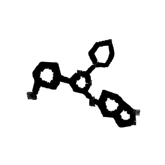 Oc1cccc(-c2cc(Nc3ccc4[nH]ncc4c3)nc(N3CCSCC3)n2)c1